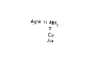 [Ag].[AlH3].[Au].[Cu].[Ni].[Ti].[Ti]